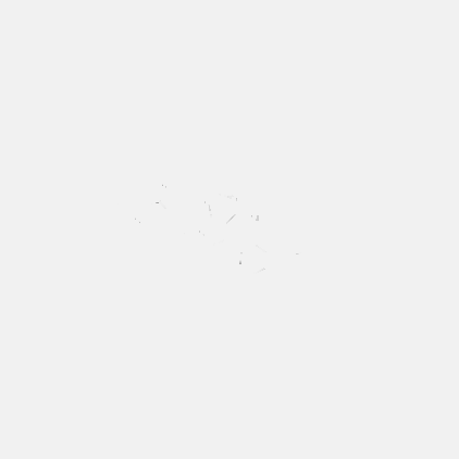 NC(=O)[C@@H]1CCCN1CC1CC(n2cc(-c3cccc(OC[C@@H]4CCCCO4)c3)c3c(N)ncnc32)C1